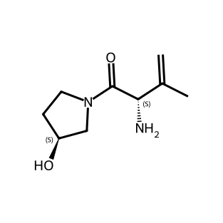 C=C(C)[C@H](N)C(=O)N1CC[C@H](O)C1